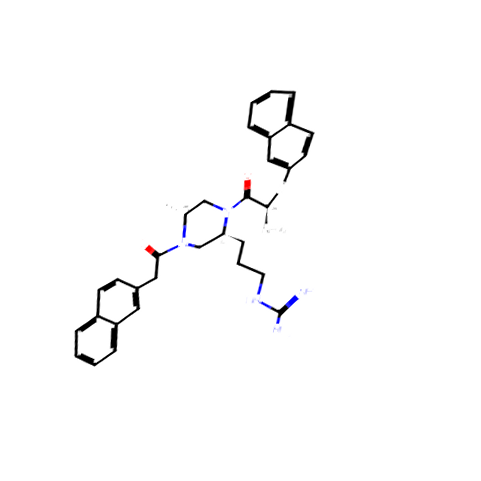 CC(=O)N[C@H](Cc1ccc2ccccc2c1)C(=O)N1C[C@@H](C)N(C(=O)Cc2ccc3ccccc3c2)C[C@@H]1CCCNC(=N)N